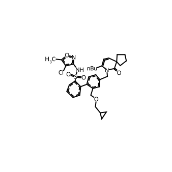 CCCCC1=C=CC2(CCCC2)C(=O)N1Cc1ccc(-c2ccccc2S(=O)(=O)Nc2noc(C)c2Cl)c(COCC2CC2)c1